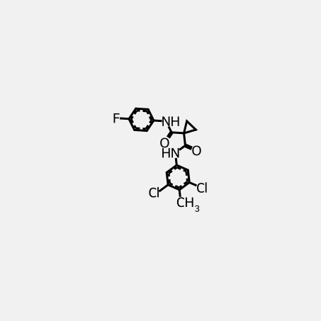 Cc1c(Cl)cc(NC(=O)C2(C(=O)Nc3ccc(F)cc3)CC2)cc1Cl